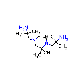 CC(C)(N)CN1CCN(CC(C)(C)N)C(C)(C)C1